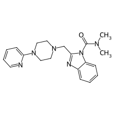 CN(C)C(=O)n1c(CN2CCN(c3ccccn3)CC2)nc2ccccc21